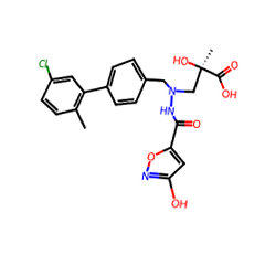 Cc1ccc(Cl)cc1-c1ccc(CN(C[C@@](C)(O)C(=O)O)NC(=O)c2cc(O)no2)cc1